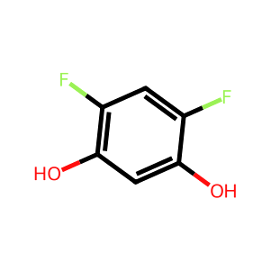 Oc1cc(O)c(F)cc1F